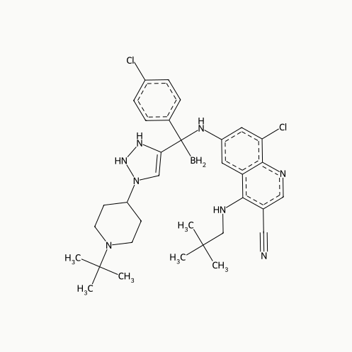 BC(Nc1cc(Cl)c2ncc(C#N)c(NCC(C)(C)C)c2c1)(C1=CN(C2CCN(C(C)(C)C)CC2)NN1)c1ccc(Cl)cc1